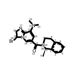 C[C@@H]1c2ccccc2CCN1C(=O)C1=CN2C(=NCC2Br)C(N(C)C)=C1